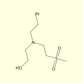 CC(C)CCN(CCO)CCS(C)(=O)=O